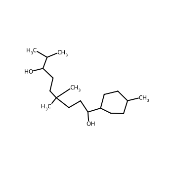 CC1CCC(C(O)CCC(C)(C)CCC(O)C(C)C)CC1